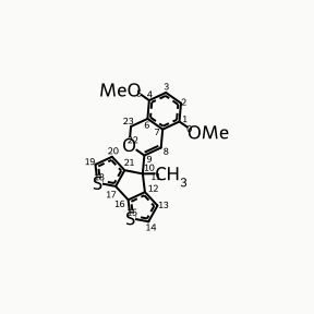 COc1ccc(OC)c2c1C=C(C1(C)c3ccsc3-c3sccc31)OC2